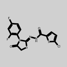 O=C(N/N=C1\SCC(=O)N1c1ccc(F)cc1F)c1ccc(Cl)s1